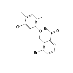 Cc1cc(C)c(OCc2c(Br)cccc2C(=O)Br)cc1Cl